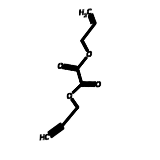 C#CCOC(=O)C(=O)OCC=C